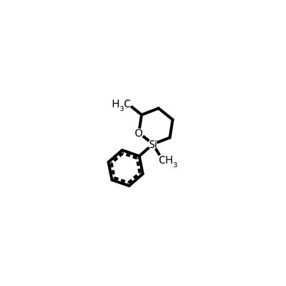 CC1CCC[Si](C)(c2ccccc2)O1